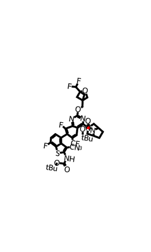 CC(C)(C)OC(=O)Nc1sc2c(F)ccc(-c3c(C(F)(F)F)cc4c(N5CC6CCC(C5)N6C(=O)OC(C)(C)C)nc(OCC56COC(C(F)F)(C5)C6)nc4c3F)c2c1C#N